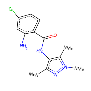 CNc1nn(NC)c(NC)c1NC(=O)c1ccc(Cl)cc1N